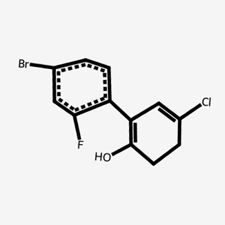 OC1=C(c2ccc(Br)cc2F)C=C(Cl)CC1